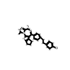 Cc1nnc2n1-c1sc3c(c1C(c1ccc(CCc4ccc(Cl)cc4)cc1)=N[C@H]2C)CCC3